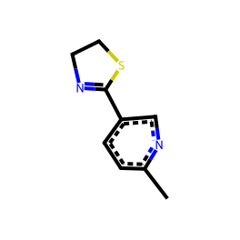 Cc1ccc(C2=NCCS2)cn1